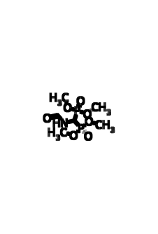 COP(=O)(OC)C(NC=O)P(=O)(OC)OC